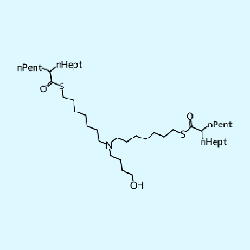 CCCCCCCC(CCCCC)C(=O)SCCCCCCCN(CCCCO)CCCCCCCSC(=O)C(CCCCC)CCCCCCC